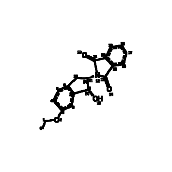 CCOc1ccc2c(c1)[C@H](O)[C@@H](N1C(=O)c3ccccc3C1=O)C2